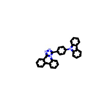 c1ccc2c(c1)c1ccccc1n1c(-c3ccc(-n4c5ccccc5c5ccccc54)cc3)nnc21